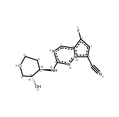 N#Cc1cc(F)c2cnc(N[C@@H]3CCOC[C@H]3O)nn12